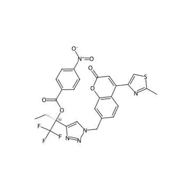 CC[C@](OC(=O)c1ccc([N+](=O)[O-])cc1)(c1cn(Cc2ccc3c(-c4csc(C)n4)cc(=O)oc3c2)nn1)C(F)(F)F